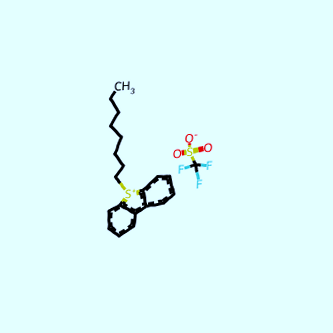 CCCCCCCC[s+]1c2ccccc2c2ccccc21.O=S(=O)([O-])C(F)(F)F